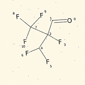 O=[C]C(F)(C(F)F)C(F)(F)F